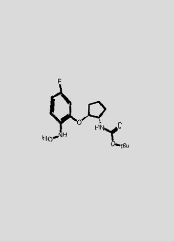 CC(C)(C)OC(=O)N[C@H]1CCC[C@@H]1Oc1cc(F)ccc1NO